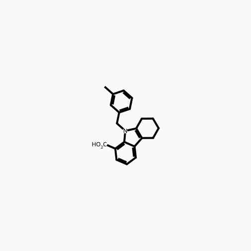 Cc1cccc(Cn2c3c(c4cccc(C(=O)O)c42)CCCC3)c1